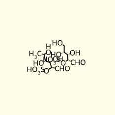 C[C@@H](O)[C@@H](O)[C@H](O)[C@@H](C=O)OS(=O)(=O)O.O=C[C@H](OS(=O)(=O)O)[C@@H](O)[C@H](O)CO